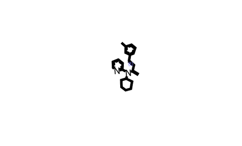 C=C(/C=C/c1cccc(C)c1)N(c1ccccn1)C1CCCCC1